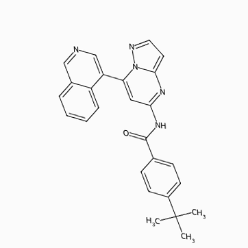 CC(C)(C)c1ccc(C(=O)Nc2cc(-c3cncc4ccccc34)n3nccc3n2)cc1